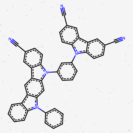 N#Cc1ccc2c(c1)c1cc(C#N)ccc1n2-c1cccc(-n2c3ccc(C#N)cc3c3cc4c5ccccc5n(-c5ccccc5)c4cc32)c1